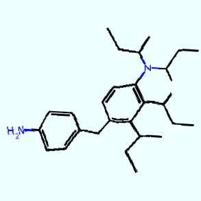 CCC(C)c1c(Cc2ccc(N)cc2)ccc(N(C(C)CC)C(C)CC)c1C(C)CC